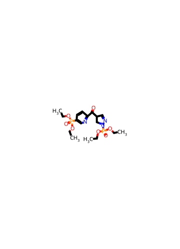 CCOP(=O)(OCC)c1ccc(C(=O)C2C=NN(P(=O)(OCC)OCC)C2)nc1